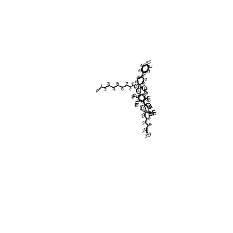 CCCCCCCCCCOC1(C(=O)Oc2c(F)c(F)c(C(=O)OC(CCCCCC)C(F)(F)F)c(F)c2F)C=CC(c2ccccc2)=CC1